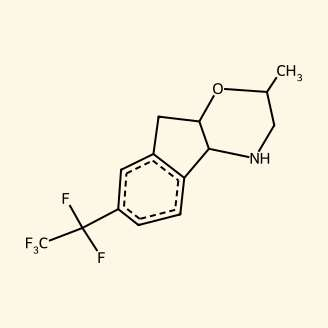 CC1CNC2c3ccc(C(F)(F)C(F)(F)F)cc3CC2O1